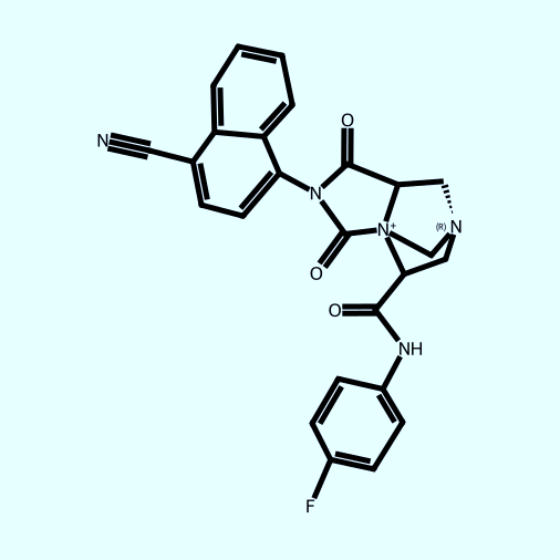 N#Cc1ccc(N2C(=O)C3C[N@]4CC(C(=O)Nc5ccc(F)cc5)[N+]3(C4)C2=O)c2ccccc12